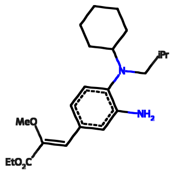 CCOC(=O)C(=Cc1ccc(N(CC(C)C)C2CCCCC2)c(N)c1)OC